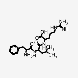 CC(C)CC(NC(=O)C(N)Cc1ccccc1)C(=O)NC(CCCNC(=N)N)C(=O)O